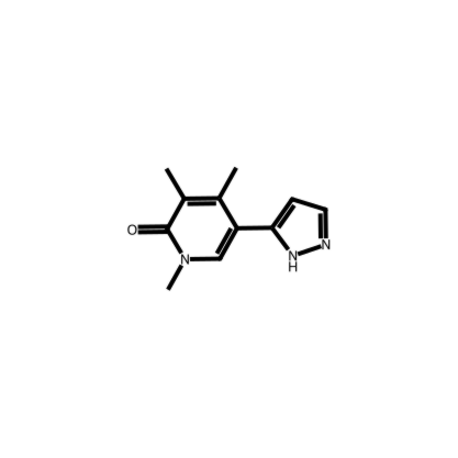 Cc1c(-c2ccn[nH]2)cn(C)c(=O)c1C